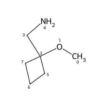 COC1(CN)CCC1